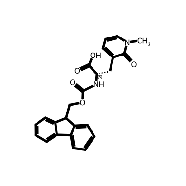 Cn1cccc(C[C@H](NC(=O)OCC2c3ccccc3-c3ccccc32)C(=O)O)c1=O